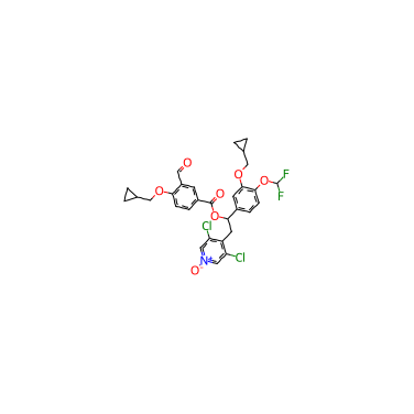 O=Cc1cc(C(=O)OC(Cc2c(Cl)c[n+]([O-])cc2Cl)c2ccc(OC(F)F)c(OCC3CC3)c2)ccc1OCC1CC1